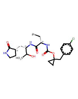 CC(C)C[C@H](NC(=O)OC1(Cc2ccc(Cl)cc2)CC1)C(=O)N[C@@H](C[C@@H]1CCNC1=O)C(O)S(=O)(=O)O